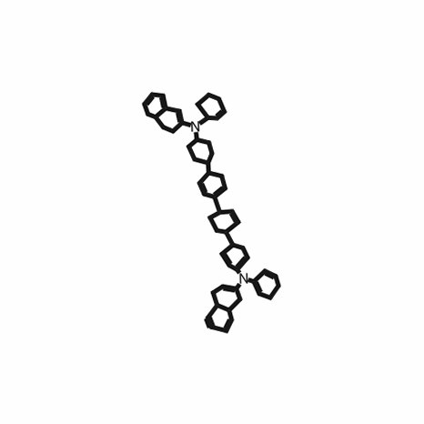 C1#CC2CC=C(N(C3=CCCC=C3)C3=CCC(C4C=CC(C5=CCC(C6CCC(N(C7=CC8=CC=CCC8CC7)C7C=CCCC7)CC6)C=C5)CC4)C=C3)CC2C=C1